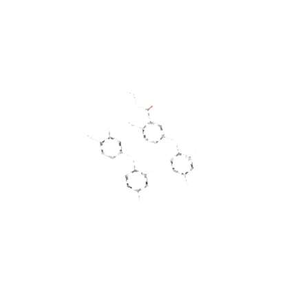 CCOC(=O)COC(=O)c1cc(Oc2ccc(C(F)(F)F)cc2Cl)ccc1[N+](=O)[O-].O=C(O)c1cc(Oc2ccc(C(F)(F)F)cc2Cl)ccc1[N+](=O)[O-]